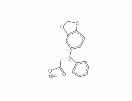 CC(C)(C)OC(=O)C[C@@H](c1ccccc1)c1ccc2c(c1)OCO2